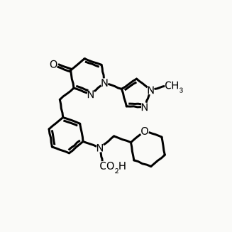 Cn1cc(-n2ccc(=O)c(Cc3cccc(N(CC4CCCCO4)C(=O)O)c3)n2)cn1